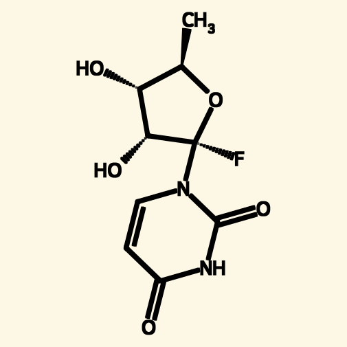 C[C@H]1O[C@@](F)(n2ccc(=O)[nH]c2=O)[C@H](O)[C@@H]1O